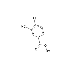 CCc1ccc(C(=O)OC(C)C)cc1C#N